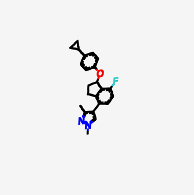 Cc1nn(C)cc1-c1ccc(F)c2c1CCC2Oc1ccc(C2CC2)cc1